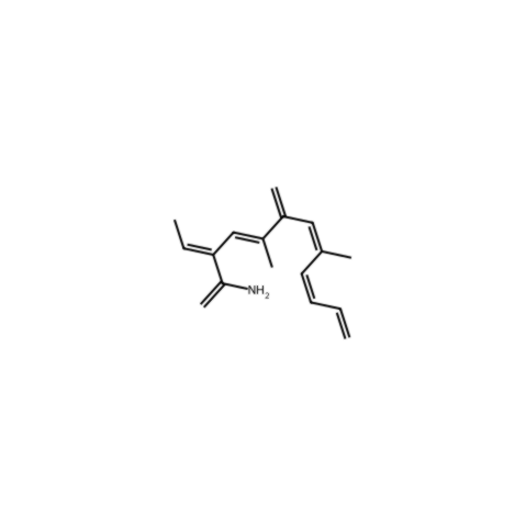 C=C/C=C\C(C)=C/C(=C)/C(C)=C/C(=C\C)C(=C)N